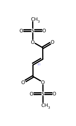 CS(=O)(=O)OC(=O)/C=C/C(=O)OS(C)(=O)=O